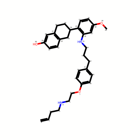 C=CCCNCCOc1ccc(CCCNc2cc(OC)ccc2C2CCc3cc(O)ccc3C2)cc1